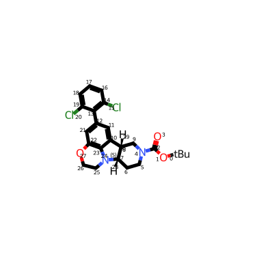 CC(C)(C)OC(=O)N1CC[C@H]2[C@@H](C1)c1cc(-c3c(Cl)cccc3Cl)cc3c1N2CCO3